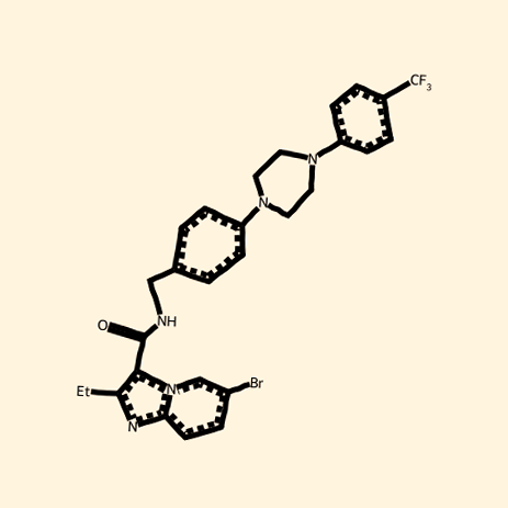 CCc1nc2ccc(Br)cn2c1C(=O)NCc1ccc(N2CCN(c3ccc(C(F)(F)F)cc3)CC2)cc1